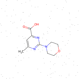 Cc1cc(C(=O)O)nc(N2CCOCC2)n1